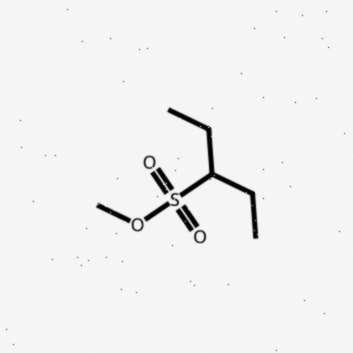 CCC(CC)S(=O)(=O)OC